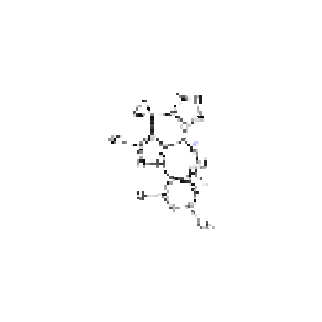 CN(C)/C=N\c1c(C2(c3nnco3)CC2)c(C#N)nn1-c1c(Cl)cc(C(F)(F)F)cc1Cl